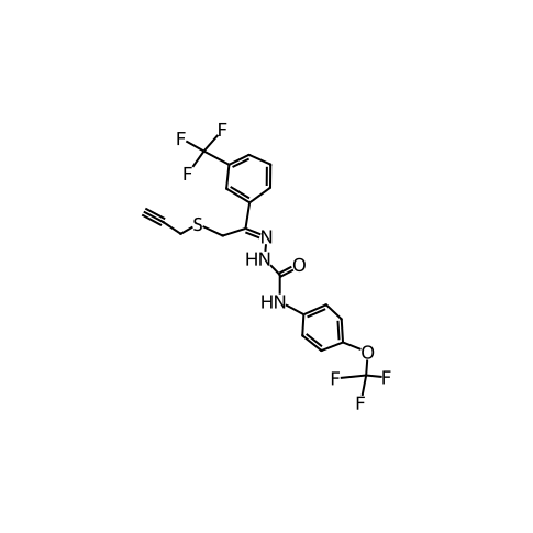 C#CCSCC(=NNC(=O)Nc1ccc(OC(F)(F)F)cc1)c1cccc(C(F)(F)F)c1